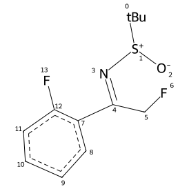 CC(C)(C)[S+]([O-])N=C(CF)c1ccccc1F